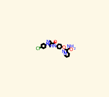 Cc1c(C(=O)N[C@H]2CC[C@H](Oc3nn4ccccc4c3C(N)=O)CC2)cnn1-c1ccc(Cl)cc1